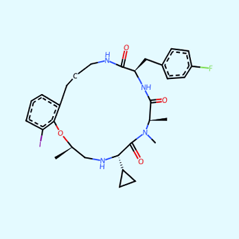 C[C@@H]1CN[C@@H](C2CC2)C(=O)N(C)[C@H](C)C(=O)N[C@H](Cc2ccc(F)cc2)C(=O)NCCCc2cccc(I)c2O1